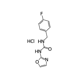 Cl.O=C(NCc1ccc(F)cc1)Nc1ncco1